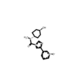 CN(C(=O)n1cnc(-c2ccc[n+]([O-])c2)c1)[C@H]1CC[C@H](O)CC1